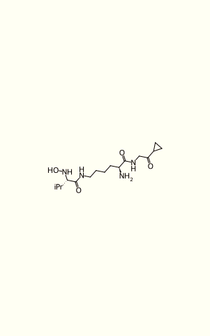 CC(C)[C@H](NO)C(=O)NCCCC[C@H](N)C(=O)NCC(=O)C1CC1